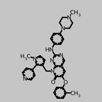 Cc1ccccc1Oc1cc2cnc(Nc3ccc(N4CCN(C)CC4)cc3)nc2n(Cc2ccn(C)c2-c2ccncc2)c1=O